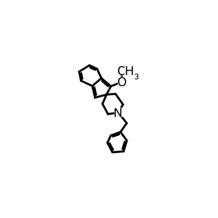 COC1=c2ccccc2=CC12CCN(Cc1ccccc1)CC2